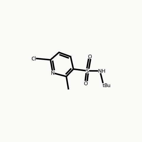 Cc1nc(Cl)ccc1S(=O)(=O)NC(C)(C)C